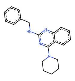 c1ccc(CNc2nc(N3CCCCC3)c3ccccc3n2)cc1